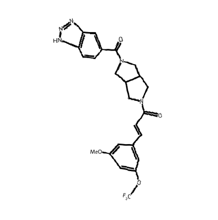 COc1cc(/C=C/C(=O)N2CC3CN(C(=O)c4ccc5[nH]nnc5c4)CC3C2)cc(OC(F)(F)F)c1